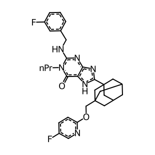 CCCn1c(NCc2cccc(F)c2)nc2nc(C34CC5CC(CC(COc6ccc(F)cn6)(C5)C3)C4)[nH]c2c1=O